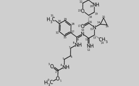 COC(=O)NCCCN/C(=N\C(=N)[C@@H](C)N(C(=O)[C@H]1CNCCO1)C1CC1)c1ccc(C)cc1